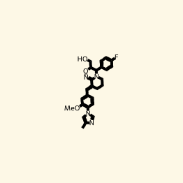 COc1cc(/C=C2\CCCN3C2=NOC(CO)C3c2ccc(F)cc2)ccc1-n1cnc(C)c1